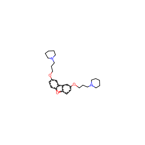 c1cc2oc3ccc(OCCCN4CCCCC4)cc3c2cc1OCCCN1CCCCC1